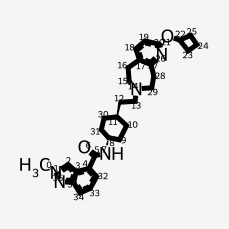 Cn1cc2c(C(=O)N[C@H]3CC[C@H](CCN4CCc5ccc(OC6CCC6)nc5CC4)CC3)cccc2n1